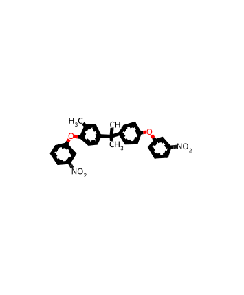 Cc1cc(C(C)(C)c2ccc(Oc3cccc([N+](=O)[O-])c3)cc2)ccc1Oc1cccc([N+](=O)[O-])c1